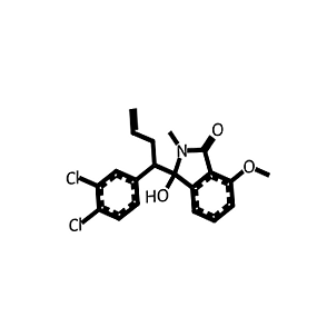 C=CCC(c1ccc(Cl)c(Cl)c1)C1(O)c2cccc(OC)c2C(=O)N1C